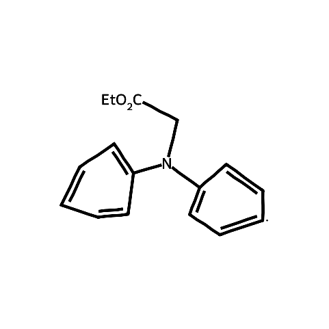 CCOC(=O)CN(c1cc[c]cc1)c1ccccc1